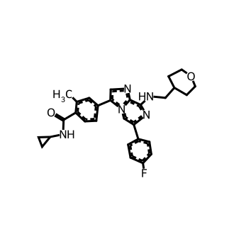 Cc1cc(-c2cnc3c(NCC4CCOCC4)nc(-c4ccc(F)cc4)cn23)ccc1C(=O)NC1CC1